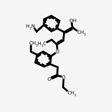 CCOC(=O)Cc1ccc(CC)cc1O/C(=C/C(=C(\C)O)c1cccc(CN)c1)CC